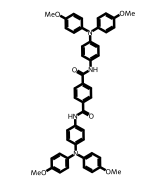 COc1ccc(N(c2ccc(NC(=O)c3ccc(C(=O)Nc4ccc(N(c5ccc(OC)cc5)c5ccc(OC)cc5)cc4)cc3)cc2)c2ccc(OC)cc2)cc1